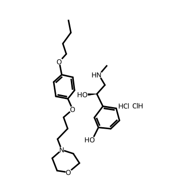 CCCCOc1ccc(OCCCN2CCOCC2)cc1.CNC[C@H](O)c1cccc(O)c1.Cl.Cl